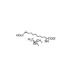 CCCCCCCC/C=C\CCCCCCCCC(S)C(=O)[O-].[CH3][Sn+]([CH3])[CH3]